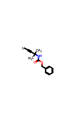 [Li][C]#CC(C)(C)NC(=O)OCc1ccccc1